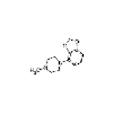 CN1CCN(c2cccc3c2OCO3)CC1